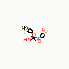 C[S+]([O-])c1ccc([S+]([O-])N2CC(CO)(COc3ccc(C#N)c(F)c3)C2)cc1